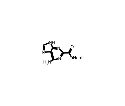 CCCCCCCC(=O)c1nc(N)c2nc[nH]c2n1